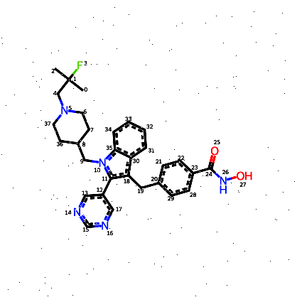 CC(C)(F)CN1CCC(Cn2c(-c3cncnc3)c(Cc3ccc(C(=O)NO)cc3)c3ccccc32)CC1